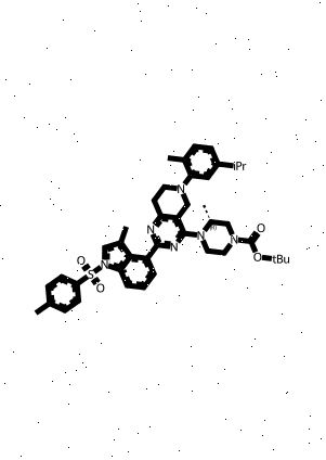 Cc1ccc(S(=O)(=O)n2cc(C)c3c(-c4nc5c(c(N6CCN(C(=O)OC(C)(C)C)C[C@H]6C)n4)CN(c4cc(C(C)C)ccc4C)CC5)cccc32)cc1